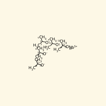 CC(C)[O-].CC(C)[O-].CC(C)[O-].CC(C)[O-].CC(C)[O-].[Nb+5]